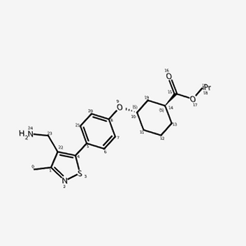 Cc1nsc(-c2ccc(O[C@H]3CCC[C@H](C(=O)OC(C)C)C3)cc2)c1CN